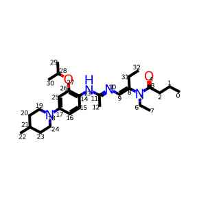 CCCC(=O)N(CC)/C(=C/N=C(\C)Nc1ccc(N2CCC(C)CC2)cc1OC(C)C)CC